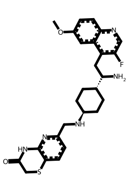 COc1ccc2ncc(F)c(CC(N)[C@H]3CC[C@H](NCc4ccc5c(n4)NC(=O)CS5)CC3)c2c1